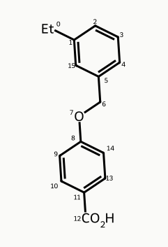 CCc1cccc(COc2ccc(C(=O)O)cc2)c1